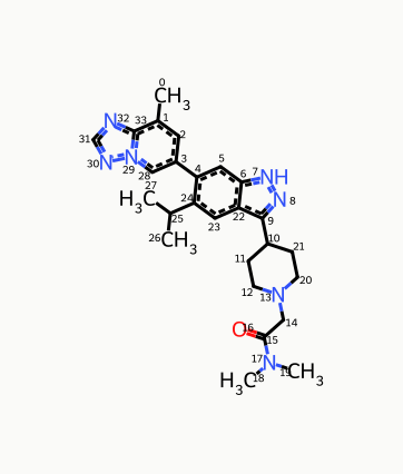 Cc1cc(-c2cc3[nH]nc(C4CCN(CC(=O)N(C)C)CC4)c3cc2C(C)C)cn2ncnc12